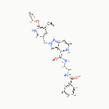 Cc1cc(Cn2cc3c(C(=O)NCCNC(=O)c4ccccc4)nccc3n2)cnc1OCC(F)(F)F